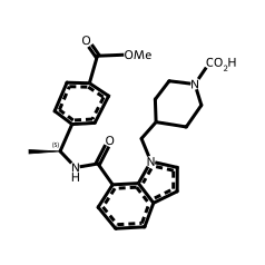 COC(=O)c1ccc([C@H](C)NC(=O)c2cccc3ccn(CC4CCN(C(=O)O)CC4)c23)cc1